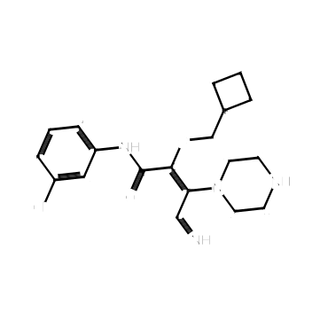 N=C/C(=C(/OCC1CCC1)C(=O)Nc1cccc(Cl)c1)N1CCNCC1